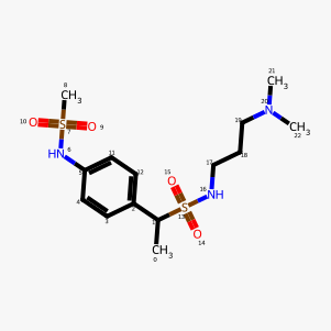 CC(c1ccc(NS(C)(=O)=O)cc1)S(=O)(=O)NCCCN(C)C